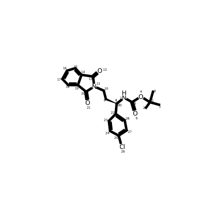 CC(C)(C)OC(=O)N[C@H](CCN1C(=O)c2ccccc2C1=O)c1ccc(Cl)cc1